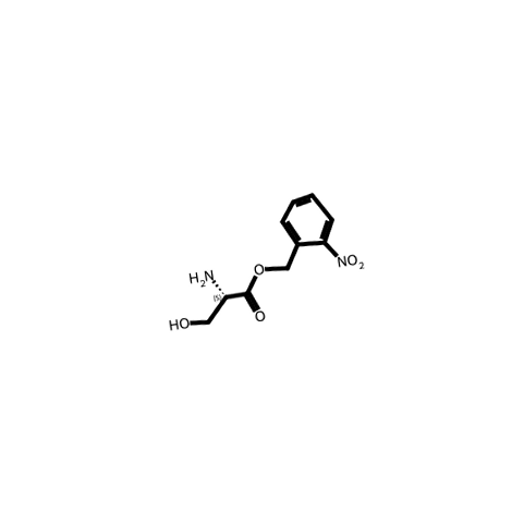 N[C@@H](CO)C(=O)OCc1ccccc1[N+](=O)[O-]